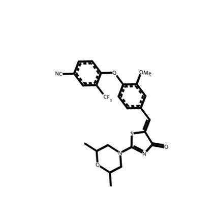 COc1cc(/C=C2\SC(N3CC(C)OC(C)C3)=NC2=O)ccc1Oc1ccc(C#N)cc1C(F)(F)F